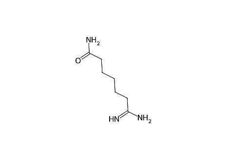 N=C(N)CCCCCC(N)=O